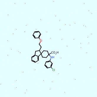 O=C(O)C1(Nc2cccc(Cl)c2)CCC2(CC1)c1ccccc1CC2CCOc1ccccc1